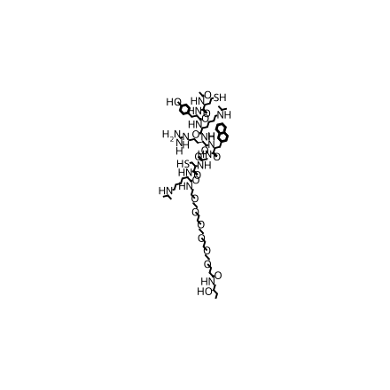 CC[C@@H](O)CNC(=O)CCOCCOCCOCCOCCOCCOCCNC(=O)C(CCCCNC(C)C)NC(=O)C(CS)NC(=O)CNC(=O)C(Cc1ccc2ccccc2c1)NC(=O)[C@@H](CCCNC(=N)N)NC(=O)C(CCCCNC(C)C)NC(=O)C(Cc1ccc(O)cc1)NC(=O)C(CCS)NC(C)=O